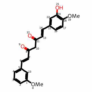 COc1cccc(C=CC(=O)CC(=O)C=Cc2ccc(OC)c(O)c2)c1